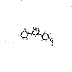 IOc1ccc(-c2nc(-c3ccccc3)no2)cc1